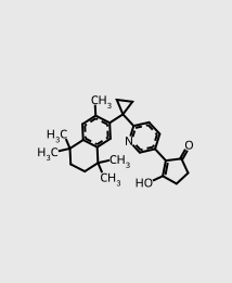 Cc1cc2c(cc1C1(c3ccc(C4=C(O)CCC4=O)cn3)CC1)C(C)(C)CCC2(C)C